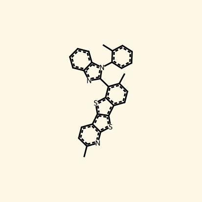 Cc1ccc2c(n1)sc1c3ccc(C)c(-c4nc5ccccc5n4-c4ccccc4C)c3sc21